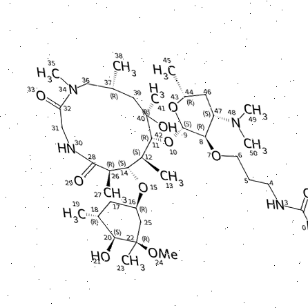 CCC(=O)NCCCO[C@H]1[C@H](O[C@@H]2[C@@H](C)[C@H](O[C@@H]3C[C@@H](C)[C@H](O)[C@](C)(OC)C3)[C@@H](C)C(=O)NCC(=O)N(C)C[C@H](C)C[C@@]2(C)O)O[C@H](C)C[C@@H]1N(C)C